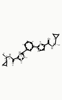 C[C@H](NC(=O)c1cnc(-c2cccc(-c3nnc(C(=O)N[C@H](C)C4CC4)[nH]3)c2)o1)C1CC1